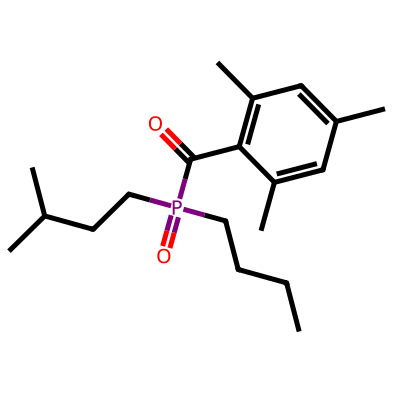 CCCCP(=O)(CCC(C)C)C(=O)c1c(C)cc(C)cc1C